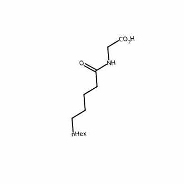 CCCCCCCCCCC(=O)NCC(=O)O